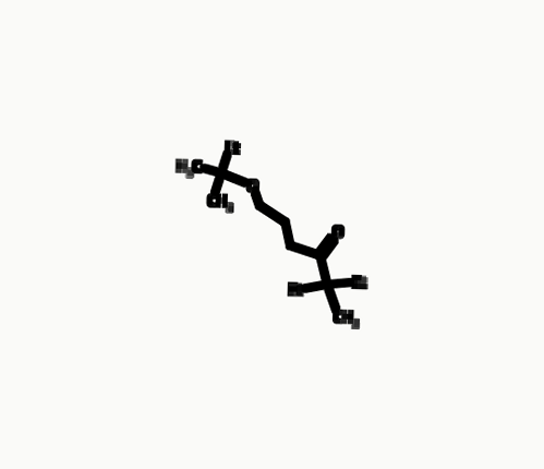 CCC(C)(C)OCCCC(=O)C(C)(CC)CC